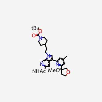 CO[C@@]1(c2cc(C)cc(-c3cn(CCC4CCN(C(=O)OC(C)(C)C)CC4)c4cnc(NC(C)=O)cc34)n2)CCOC1